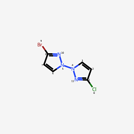 Clc1ccn(-n2ccc(Br)n2)n1